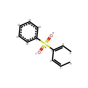 C/C=C\C(=C/C)S(=O)(=O)c1ccccc1